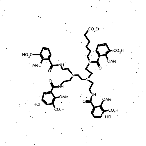 CCOC(=O)CCCCCN(CCN(CCNC(=O)c1cccc(C(=O)O)c1OC)CCN(CCNC(=O)c1cccc(C(=O)O)c1OC)CCNC(=O)c1cccc(C(=O)O)c1OC)C(=O)c1cccc(C(=O)O)c1OC.Cl.Cl